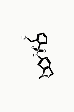 CB1OCc2ccc(NS(=O)(=O)c3ccccc3CN)cc21